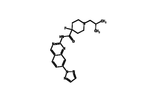 CC(C)CN1CCC(F)(C(=O)Nc2ncc3ccc(-n4nccn4)cc3n2)CC1